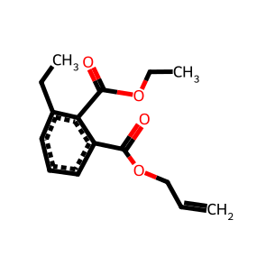 C=CCOC(=O)c1cccc(CC)c1C(=O)OCC